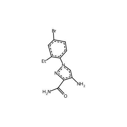 CCc1cc(Br)ccc1-n1cc(N)c(C(N)=O)n1